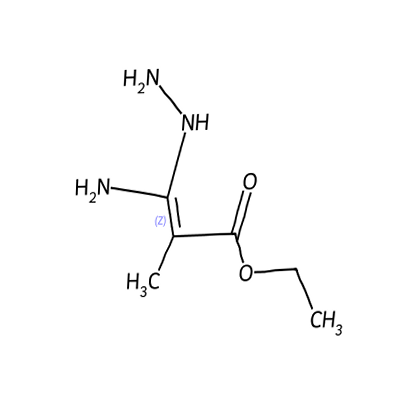 CCOC(=O)/C(C)=C(/N)NN